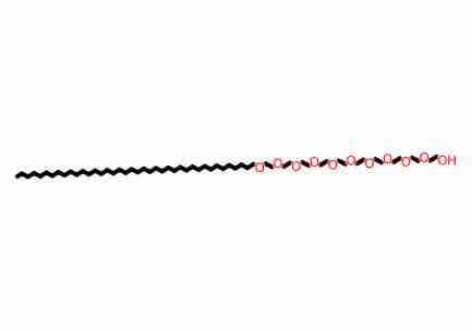 CCCCCCCCCCCCCCCCCCCCCCCCCCCCCCCCCCCCCCCCOCCOCCOCCOCCOCCOCCOCCOCCOCCOCCO